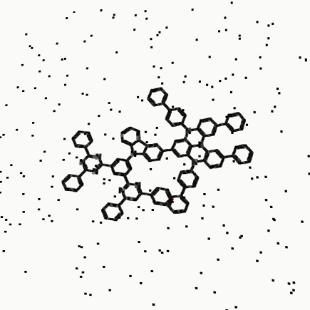 c1ccc(-c2ccc(N3c4ccc(-c5ccccc5)cc4B4c5cc(-c6ccccc6)ccc5N(c5ccc(-c6ccccc6)cc5)c5cc(-c6ccc7c(c6)c6ccccc6n7-c6cc(-c7nc(-c8ccccc8)cc(-c8ccccc8)n7)cc(-c7nc(-c8ccccc8)nc(-c8ccccc8)n7)c6)cc3c54)cc2)cc1